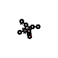 c1ccc(-c2ccc3c(c2)c2cc(-c4ccccc4)ccc2n3-c2ccc(-c3ccccn3)cc2-c2nc(-c3ccccc3)nc(-c3ccccc3)n2)cc1